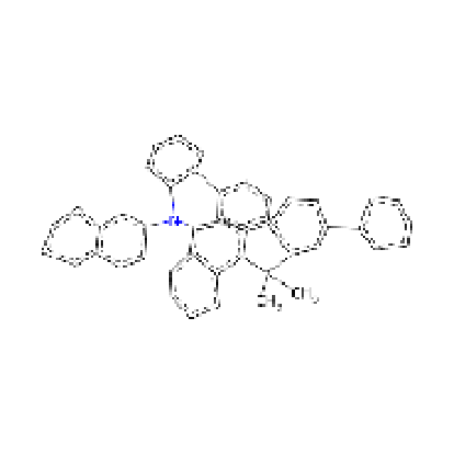 CC1(C)c2cc(-c3ccccc3)ccc2-c2cc(N(c3ccc4ccccc4c3)c3ccccc3-c3ccccc3)c3ccccc3c21